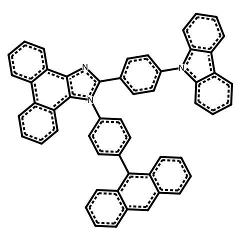 c1ccc2c(-c3ccc(-n4c(-c5ccc(-n6c7ccccc7c7ccccc76)cc5)nc5c6ccccc6c6ccccc6c54)cc3)c3ccccc3cc2c1